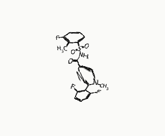 Cc1c(F)cccc1S(=O)(=O)NC(=O)c1cn(C)c(-c2c(F)cccc2F)n1